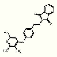 Cc1cc(Nc2ccc(CCN3C(=O)c4ccccc4C3=O)cc2)c(N)c(C)n1